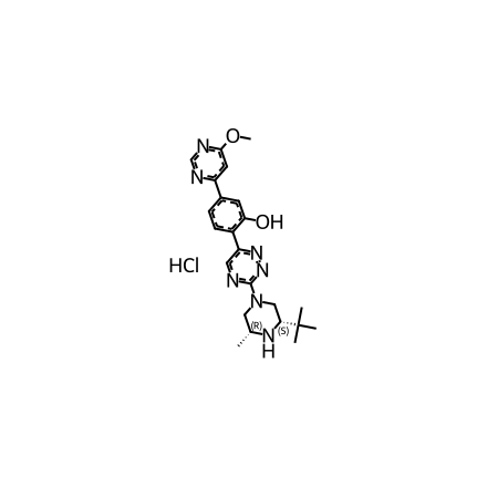 COc1cc(-c2ccc(-c3cnc(N4C[C@@H](C)N[C@@H](C(C)(C)C)C4)nn3)c(O)c2)ncn1.Cl